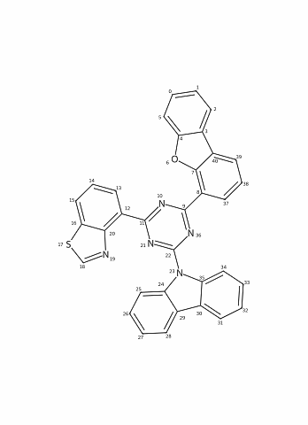 c1ccc2c(c1)oc1c(-c3nc(-c4cccc5scnc45)nc(-n4c5ccccc5c5ccccc54)n3)cccc12